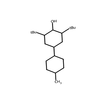 CC1CCC(C2CC(C(C)(C)C)C(O)C(C(C)(C)C)C2)CC1